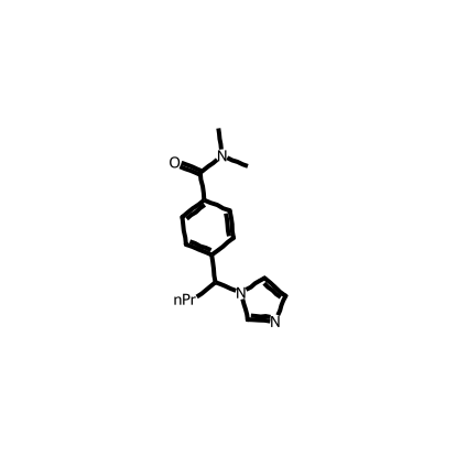 CCCC(c1ccc(C(=O)N(C)C)cc1)n1ccnc1